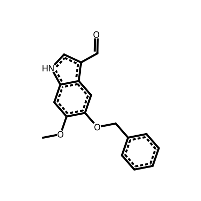 COc1cc2[nH]cc(C=O)c2cc1OCc1ccccc1